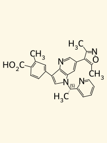 Cc1cc(-c2cn([C@@H](C)c3ccccn3)c3cc(-c4c(C)noc4C)cnc23)ccc1C(=O)O